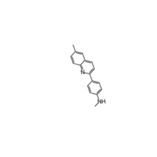 CNc1ccc(-c2ccc3cc(C)ccc3n2)cc1